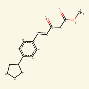 COC(=O)CC(=O)C=Cc1ccc(C2CCCC2)cc1